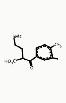 CSCCC(C(=O)O)C(=O)c1ccc(C(F)(F)F)c(C)c1